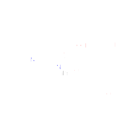 CC(C)N(C(=O)C(OCCCCO)C(O)CCCO)C1CCN(Cc2ccccc2)CC1